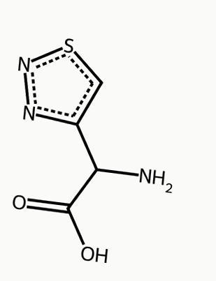 NC(C(=O)O)c1csnn1